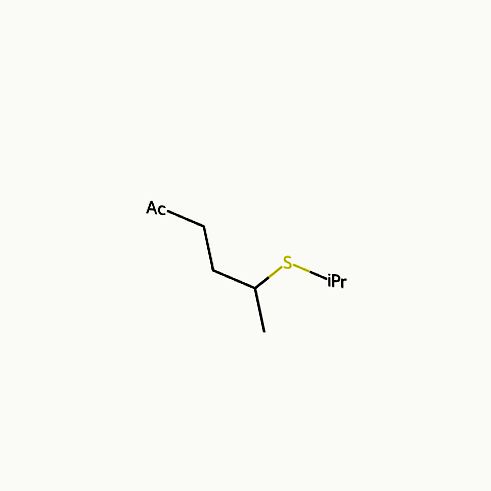 CC(=O)CCC(C)SC(C)C